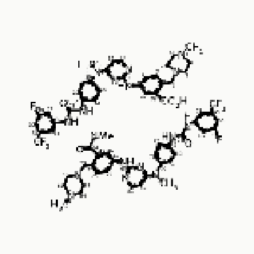 CN1CCN(Cc2ccc(Nc3nccc(N(C)c4ccc(NC(=O)Nc5cc(F)cc(C(F)(F)F)c5)cc4)n3)cc2C(=O)O)CC1.CNC(=O)c1cc(Nc2nccc(N(C)c3ccc(NC(=O)Nc4cc(F)cc(C(F)(F)F)c4)cc3)n2)ccc1CN1CCN(C)CC1